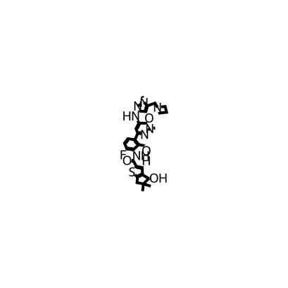 Cn1nc(Nc2cc(-c3ccc(F)c(NC(=O)c4cc5c(s4)CC(C)(C)C5O)c3CO)nn(C)c2=O)cc1CN1CCC1